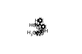 Cn1cnc(S(=O)(=O)Nc2cccc(C(C(=O)NO)c3ccccc3)c2)c1